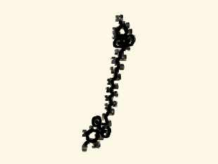 Cc1ccc(S(=O)(=O)CCCCCCCCCCCCCCCCCS(=O)(=O)c2ccc(C)cc2)cc1